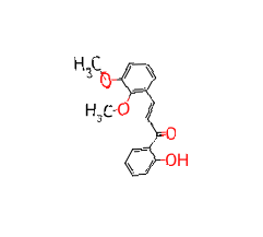 COc1cccc(C=CC(=O)c2ccccc2O)c1OC